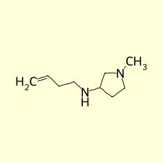 C=CCCNC1CCN(C)C1